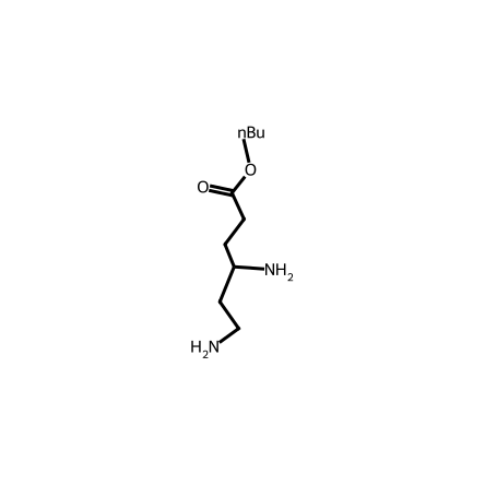 CCCCOC(=O)CCC(N)CCN